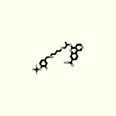 CC(COCCCCNCc1ccc(OC(F)(F)F)c(F)c1)Oc1nc2cc(C(=O)O)ccc2c2cnccc12